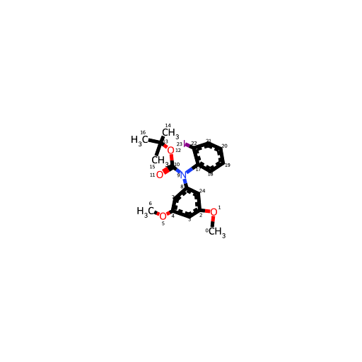 COc1cc(OC)cc(N(C(=O)OC(C)(C)C)c2ccccc2I)c1